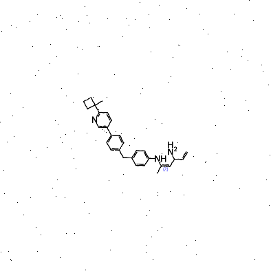 C=CC(N)/C=C(/C)Nc1ccc(Cc2ccc(-c3ccc(C4(C)CCC4)nc3)cc2)cc1